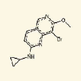 COc1ncc2ccc(NC3CC3)nc2c1Br